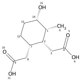 C[C@@H]1[C@H](CC(=O)O)[C@H](CC(=O)O)CC[C@@H]1O